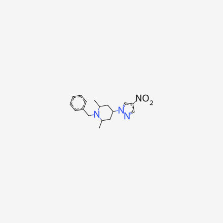 CC1CC(n2cc([N+](=O)[O-])cn2)CC(C)N1Cc1ccccc1